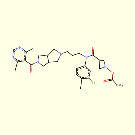 COC(=O)ON1CC(C(=O)N(CCCN2CC3CN(C(=O)c4c(C)ncnc4C)CC3C2)c2ccc(C)c(Cl)c2)C1